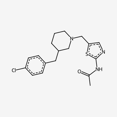 CC(=O)Nc1ncc(CN2CCCC(Cc3ccc(Cl)cc3)C2)s1